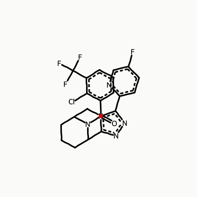 O=C(c1cccc(C(F)(F)F)c1Cl)N1C2CCCC1c1nnc(-c3ccc(F)cn3)n1C2